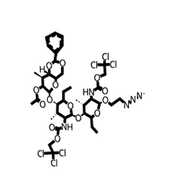 CCC1O[C@@H](OCCN=[N+]=[N-])C(NC(=O)OCC(Cl)(Cl)Cl)[C@@H](C)[C@@H]1O[C@@H]1OC(CC)[C@@H](O[C@@H]2OC3COC(c4ccccc4)O[C@H]3[C@H](C)C2OC(C)=O)[C@@H](C)C1NC(=O)OCC(Cl)(Cl)Cl